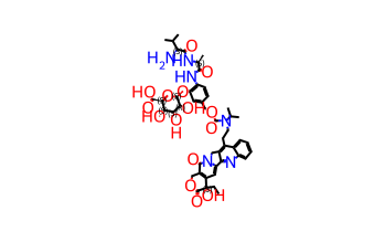 CC[C@@]1(O)C(=O)OCc2c1cc1n(c2=O)Cc2c-1nc1ccccc1c2CCN(C(=O)OCc1ccc(NC(=O)[C@H](C)NC(=O)[C@@H](N)C(C)C)c(O[C@@H]2O[C@H](C(=O)O)[C@@H](O)[C@H](O)[C@H]2O)c1)C(C)C